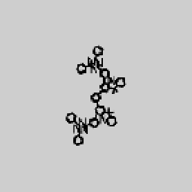 CC1(C)c2ccccc2-n2c3ccc(-c4nc(C5=CC=CCC5)nc(-c5ccccc5)n4)cc3c3cc(-c4cccc(-c5cc6c7c(c5)c5cc(-c8nc(-c9ccccc9)nc(C9C=CC=CC9)n8)ccc5n7-c5ccccc5C6(C)C)c4)cc1c32